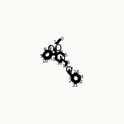 CCOC(=O)C1(c2ccccc2)CCN(CCOCc2ccccc2)CC1